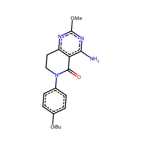 COc1nc(N)c2c(n1)CCN(c1ccc(OCC(C)C)cc1)C2=O